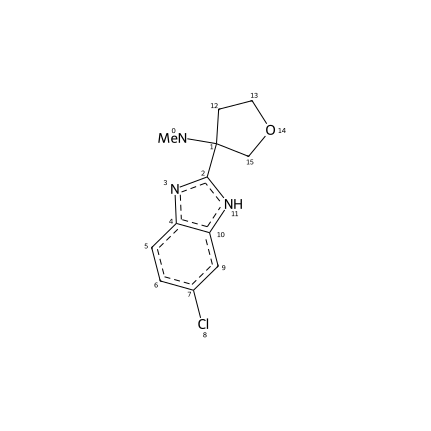 CNC1(c2nc3ccc(Cl)cc3[nH]2)CCOC1